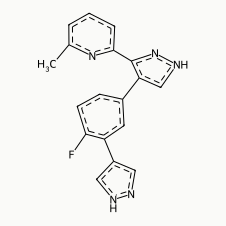 Cc1cccc(-c2n[nH]cc2-c2ccc(F)c(-c3cn[nH]c3)c2)n1